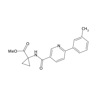 COC(=O)C1(NC(=O)c2ccc(-c3cccc(C)c3)nc2)CC1